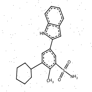 Cc1c(C2CCCCC2)cc(-c2cc3ccccc3[nH]2)cc1S(N)(=O)=O